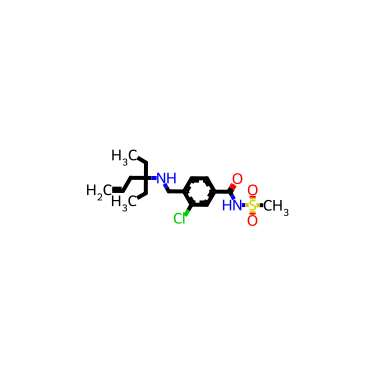 C=CCC(CC)(CC)NCc1ccc(C(=O)NS(C)(=O)=O)cc1Cl